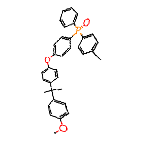 COc1ccc(C(C)(C)c2ccc(Oc3ccc(P(=O)(c4ccccc4)c4ccc(C)cc4)cc3)cc2)cc1